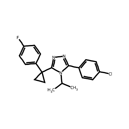 CC(C)n1c(-c2ccc(Cl)cc2)nnc1C1(c2ccc(F)cc2)CC1